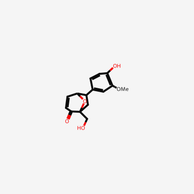 COc1cc(C2CC3(CO)OC2C=CC3=O)ccc1O